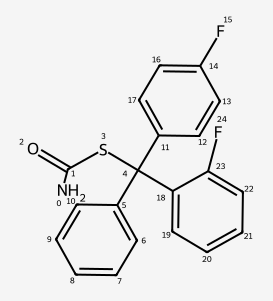 NC(=O)SC(c1ccccc1)(c1ccc(F)cc1)c1ccccc1F